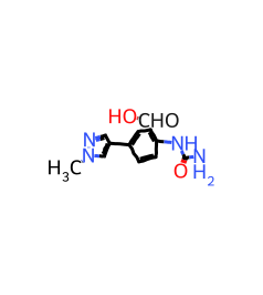 Cn1cc(-c2ccc(NC(N)=O)cc2)cn1.O=CO